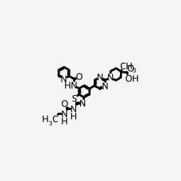 CCNC(=O)Nc1nc2cc(-c3cnc(N4CCC(C)(C(=O)O)CC4)nc3)cc(NC(=O)c3ccccn3)c2s1